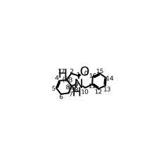 O=C1C[C@H]2C=CCC[C@@H]2N1Cc1ccccc1